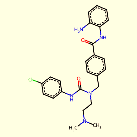 CN(C)CCN(Cc1ccc(C(=O)Nc2ccccc2N)cc1)C(=O)Nc1ccc(Cl)cc1